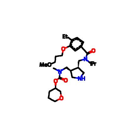 CCc1ccc(C(=O)N(C[C@@H]2CNC[C@H]2CN(C)C(=O)O[C@@H]2CCCOC2)C(C)C)cc1OCCCOC